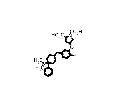 CN(C)C1(c2ccccc2)CCC(Cc2ccc(F)c(O[C@H]3C[C@@H](C(=O)O)N(C(=O)O)C3)c2)CC1